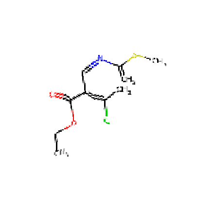 C=C(/N=C\C(C(=O)OCC)=C(/C)Cl)SC